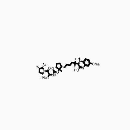 CCCCCCCCCC(NC(=O)OC1(C)CCC[C@H]1CCCCC(F)(F)C1C(O)=Nc2cc(OC)ccc2N1C)C(=O)N1CC[C@@H](C)[C@H]1C(C)=O